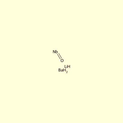 [BaH2].[LiH].[O]=[Nb]